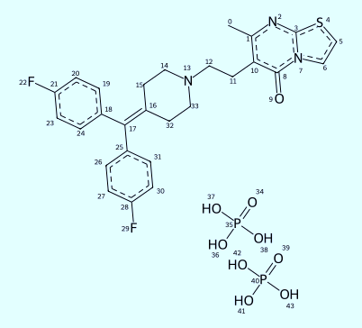 Cc1nc2sccn2c(=O)c1CCN1CCC(=C(c2ccc(F)cc2)c2ccc(F)cc2)CC1.O=P(O)(O)O.O=P(O)(O)O